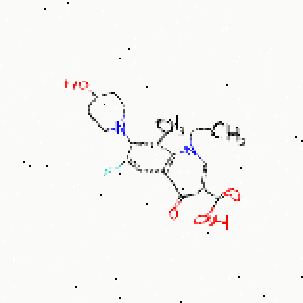 CCn1cc(C(=O)O)c(=O)c2cc(F)c(N3CCC(O)CC3)c(C)c21